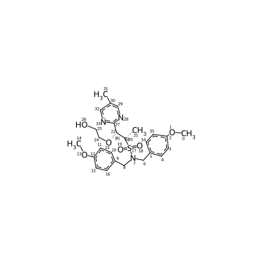 COc1ccc(CN(Cc2ccc(OC)cc2)S(=O)(=O)[C@@H](C)[C@H](OCCO)c2ncc(C)cn2)cc1